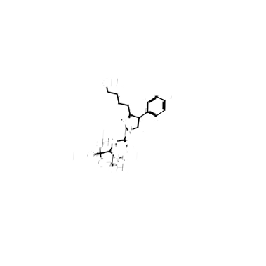 CCCCCC1=NN(C(=O)NC(N(C)C)C(C)(C)C)CC1c1ccccc1